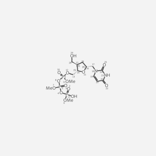 COP(=O)(O)OP(=O)(OC)OP(=O)(OC)OC[C@H]1O[C@@H](Cn2ccc(=O)[nH]c2=O)C[C@@H]1CO